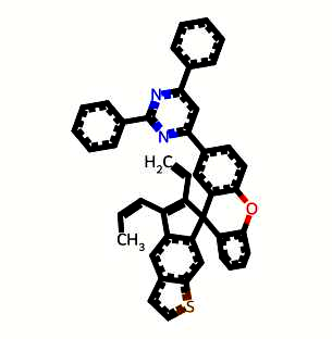 C=CC1=C(/C=C\C)c2cc3ccsc3cc2C12c1ccccc1Oc1ccc(-c3cc(-c4ccccc4)nc(-c4ccccc4)n3)cc12